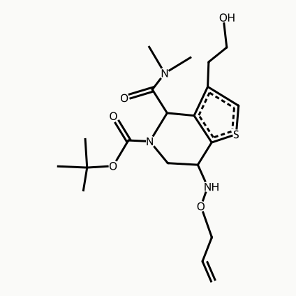 C=CCONC1CN(C(=O)OC(C)(C)C)C(C(=O)N(C)C)c2c(CCO)csc21